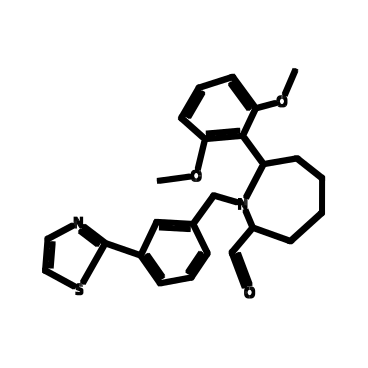 COc1cccc(OC)c1C1CCCCC(C=O)N1Cc1cccc(-c2nccs2)c1